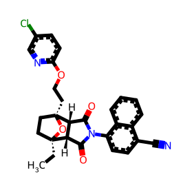 CC[C@]12CC[C@](CCOc3ccc(Cl)cn3)(O1)[C@@H]1C(=O)N(c3ccc(C#N)c4ccccc34)C(=O)[C@@H]12